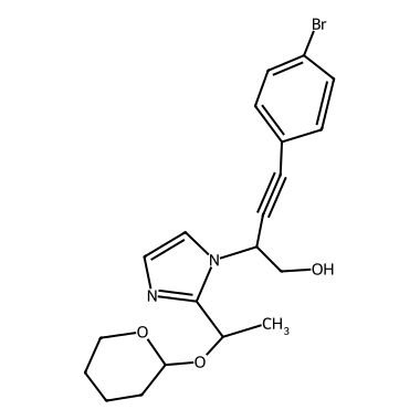 CC(OC1CCCCO1)c1nccn1C(C#Cc1ccc(Br)cc1)CO